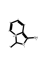 CC1OC(S)=C2C=CC=CN21